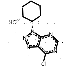 O[C@@H]1CCCC[C@@H]1n1nnc2c(Cl)ncnc21